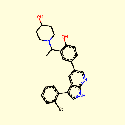 CCc1ccccc1-c1c[nH]c2ncc(-c3ccc(O)c(C(C)N4CCC(O)CC4)c3)cc12